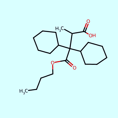 CCCCOC(=O)C(C1CCCCC1)(C1CCCCC1)C(C)C(=O)O